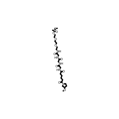 COC1CCN(C(=O)CCCCC(=O)NCC(=O)NCC(=O)NCC(=O)NCCOCCOCCOP(C)(=O)OC)C1